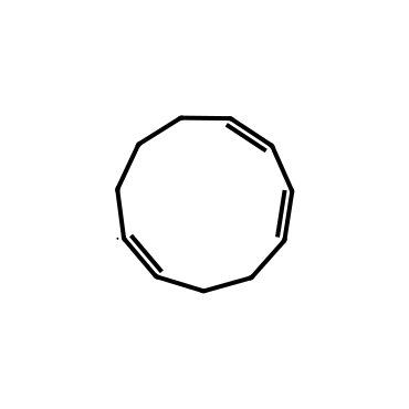 [C]1=C\CC/C=C\C=C/CCC/1